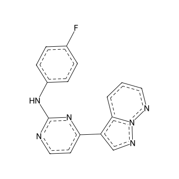 Fc1ccc(Nc2nccc(-c3cnn4ncccc34)n2)cc1